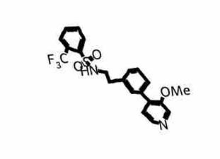 COc1cnccc1-c1cccc(CCNS(=O)(=O)c2ccccc2C(F)(F)F)c1